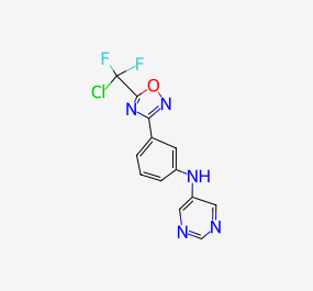 FC(F)(Cl)c1nc(-c2cccc(Nc3cncnc3)c2)no1